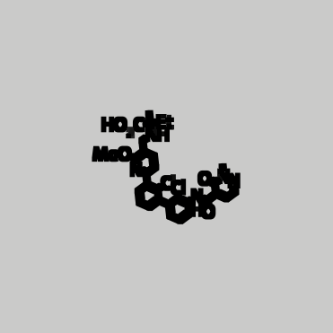 CCC(C)(NCc1ccc(-c2cccc(-c3cccc(NC(=O)c4ccnn(C)c4=O)c3Cl)c2Cl)nc1OC)C(=O)O